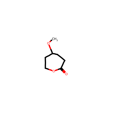 COC1CCOC(=O)CC1